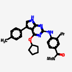 CNC(=O)c1ccc(Nc2nc(OC3CCCC3)c3c(-c4ccc(C)cc4)c[nH]c3n2)c(C(C)C)c1